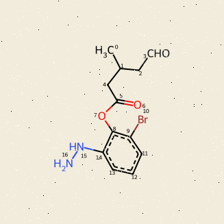 CC(CC=O)CC(=O)Oc1c(Br)cccc1NN